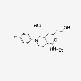 CCNC(=O)N1CCN(c2ccc(F)cc2)CC1CCCCO.Cl